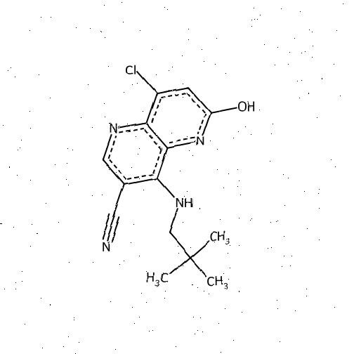 CC(C)(C)CNc1c(C#N)cnc2c(Cl)cc(O)nc12